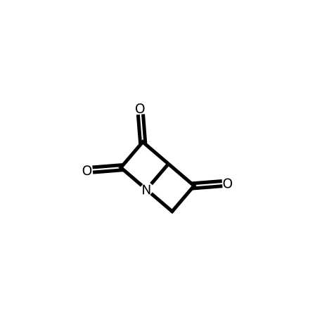 O=C1CN2C(=O)C(=O)C12